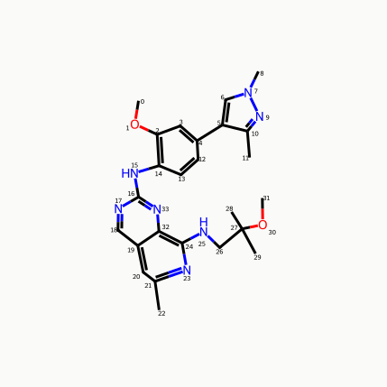 COc1cc(-c2cn(C)nc2C)ccc1Nc1ncc2cc(C)nc(NCC(C)(C)OC)c2n1